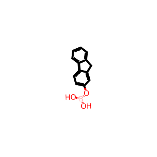 OB(O)Oc1ccc2c(c1)Cc1ccccc1-2